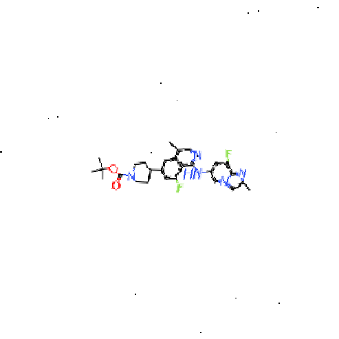 Cc1cn2cc(Nc3ncc(C)c4cc(C5CCN(C(=O)OC(C)(C)C)CC5)cc(F)c34)cc(F)c2n1